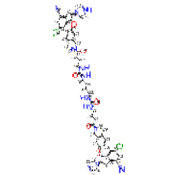 N#Cc1cc(Cl)cc2c1C[C@H](N1CCNCC1)[C@H]2Oc1ccc2c(c1)CN(C(=O)CCCNC(=O)NCCCCNC(=O)NCCCC(=O)N1CCc3ccc(O[C@H]4c5cc(Cl)cc(C#N)c5C[C@@H]4N4CCNCC4)cc3C1)CC2